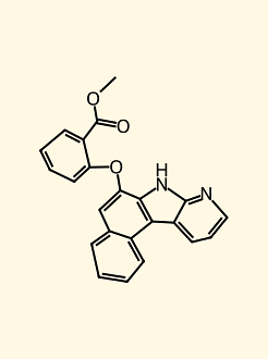 COC(=O)c1ccccc1Oc1cc2ccccc2c2c1[nH]c1ncccc12